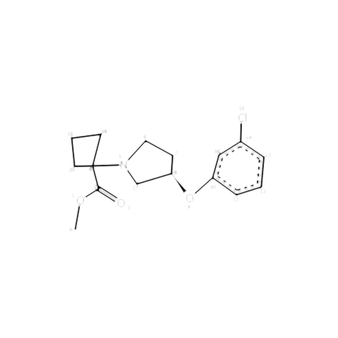 COC(=O)C1(N2CC[C@@H](Oc3cccc(Cl)c3)C2)CCC1